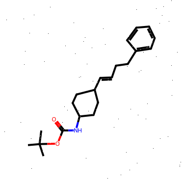 CC(C)(C)OC(=O)NC1CCC(C=CCCc2ccccc2)CC1